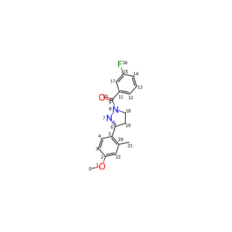 COc1ccc(C2=NN(C(=O)c3cccc(F)c3)CC2)c(C)c1